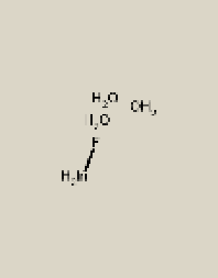 O.O.O.[F][InH2]